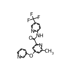 Cc1cc(Oc2cccnc2)cc(C(=O)Nc2ccc(C(F)(F)F)cn2)n1